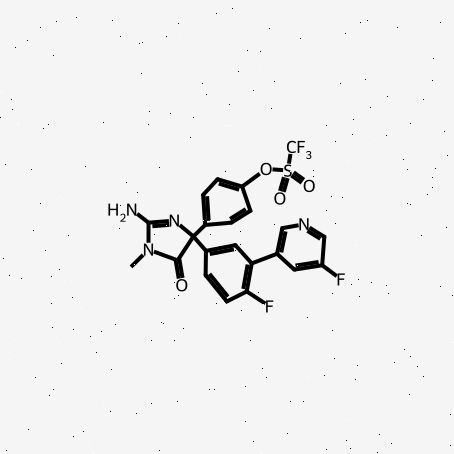 CN1C(=O)C(c2ccc(OS(=O)(=O)C(F)(F)F)cc2)(c2ccc(F)c(-c3cncc(F)c3)c2)N=C1N